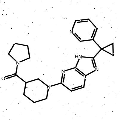 O=C(C1CCCN(c2ccc3nc(C4(c5cccnc5)CC4)[nH]c3n2)C1)N1CCCC1